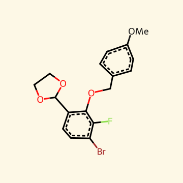 COc1ccc(COc2c(C3OCCO3)ccc(Br)c2F)cc1